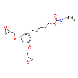 CSNC(=O)OCCCCCc1cc(OCC2CO2)cc(OCC2CO2)c1